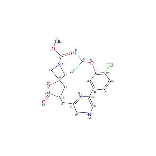 CC(C)(C)OC(=O)N1CC2(C1)CN(Cc1cncc(-c3ccc(Cl)c(OC(F)F)c3)n1)C(=O)O2